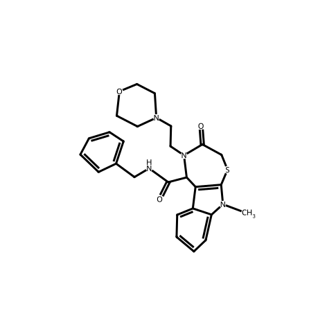 Cn1c2c(c3ccccc31)C(C(=O)NCc1ccccc1)N(CCN1CCOCC1)C(=O)CS2